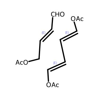 CC(=O)O/C=C/C=C/OC(C)=O.CC(=O)OC/C=C/C=O